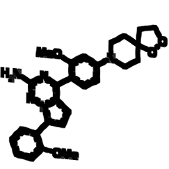 COc1cc(N2CCC3(CCOO3)CC2)ccc1-c1nc(N)nn2c(-c3ccccc3OC)ccc12